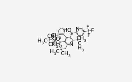 CC(C)c1nc2c(c(C3=CCCC3)c1[C@H](O)c1ccc(C(F)(F)F)cn1)C(O[Si](C)(C)C(C)(C)C)CC(C)(C)C2